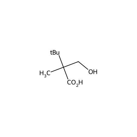 CC(C)(C)C(C)(CO)C(=O)O